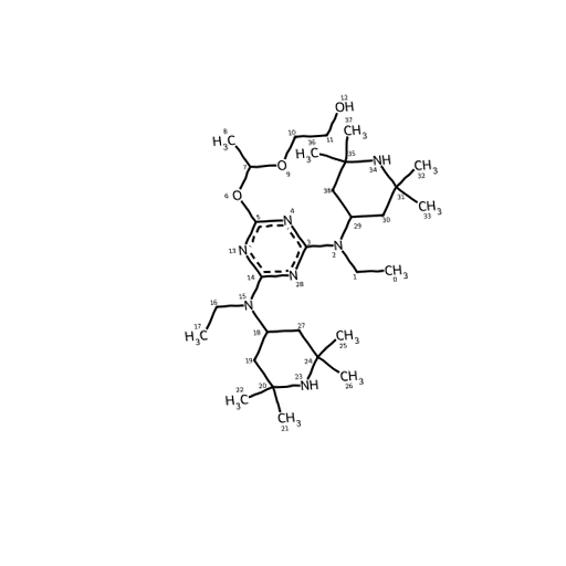 CCN(c1nc(OC(C)OCCO)nc(N(CC)C2CC(C)(C)NC(C)(C)C2)n1)C1CC(C)(C)NC(C)(C)C1